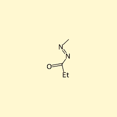 CCC(=O)N=NC